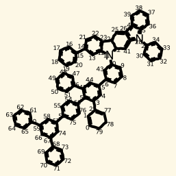 C1=CC(c2cc(-c3cccc(N4c5cc(-c6ccccc6)ccc5C5C=c6c(n(-c7ccccc7)c7ccccc67)=CC54)c3)cc(-c3ccccc3)c2-c2ccc(-c3cc(-c4ccccc4)cc(-c4ccccc4)c3)cc2)=CCC1